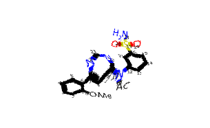 COc1ccccc1-c1cc(N(C(C)=O)c2cccc(S(N)(=O)=O)c2)ncn1